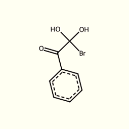 O=C(c1ccccc1)C(O)(O)Br